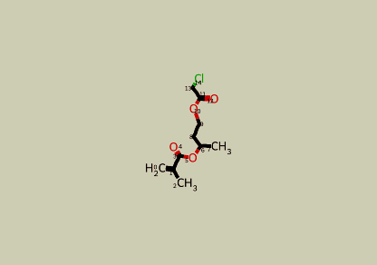 C=C(C)C(=O)OC(C)CCOC(=O)CCl